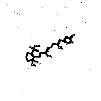 CNS(=O)(=O)C1=C(/C=C/C(C)=C/CC/C(C)=C/c2cc(=O)[nH]o2)C(C)(C)CCC1